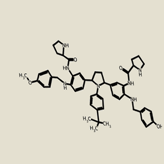 COc1ccc(CNc2ccc(C3CCC(c4ccc(NCc5ccc(O)cc5)c(NC(=O)C5CCCN5)c4)N3c3ccc(C(C)(C)C)cc3)cc2NC(=O)C2CCCN2)cc1